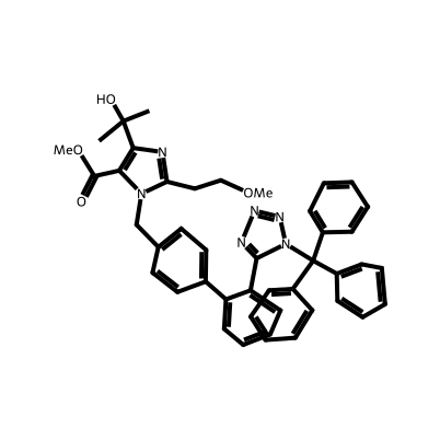 COCCc1nc(C(C)(C)O)c(C(=O)OC)n1Cc1ccc(-c2ccccc2-c2nnnn2C(c2ccccc2)(c2ccccc2)c2ccccc2)cc1